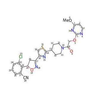 COc1ccnc(OCC(=O)N2CCC(c3nc(C4=NOC(c5c(Cl)cccc5C#N)C4)cs3)CC2)n1